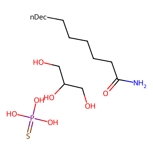 CCCCCCCCCCCCCCCC(N)=O.OCC(O)CO.OP(O)(O)=S